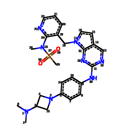 CN(C)C1CN(c2ccc(Nc3ncc4ccn(Cc5cccnc5N(C)S(C)(=O)=O)c4n3)cc2)C1